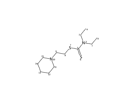 CCN(CC)C(=S)SCCN1CCCCC1